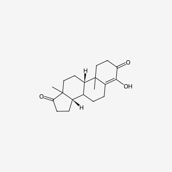 CC12CC[C@H]3C(CCC4=C(O)C(=O)CCC43C)[C@@H]1CCC2=O